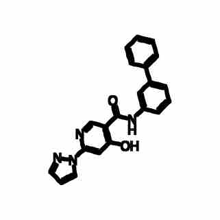 O=C(Nc1cccc(-c2ccccc2)c1)c1cnc(-n2cccn2)cc1O